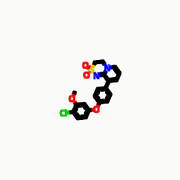 COc1cc(Oc2ccc(C3=CC=CN4CCS(=O)(=O)N=C34)cc2)ccc1Cl